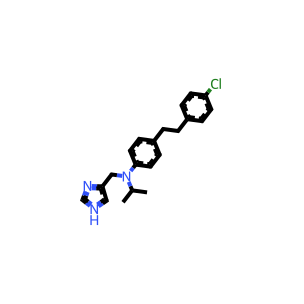 CC(C)N(Cc1c[nH]cn1)c1ccc(CCc2ccc(Cl)cc2)cc1